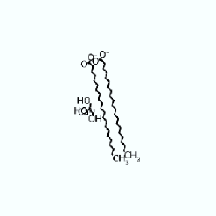 CCCCCCCCCCCCCCCCCCCCCC(=O)[O-].CCCCCCCCCCCCCCCCCCCCCC(=O)[O-].OCC(O)CO.[Ca+2]